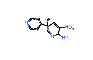 CCCC1(c2ccncc2)C=NC(N)C([N+](=O)[O-])=C1